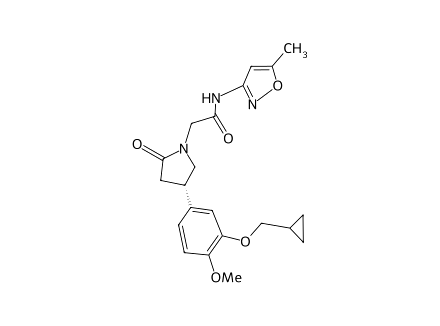 COc1ccc([C@@H]2CC(=O)N(CC(=O)Nc3cc(C)on3)C2)cc1OCC1CC1